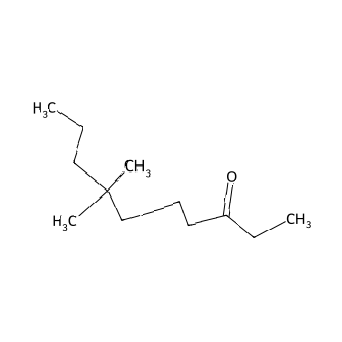 CCCC(C)(C)CCCC(=O)CC